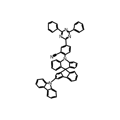 N#Cc1cc(-c2nc(-c3ccccc3)nc(-c3ccccc3)n2)ccc1N1c2ccccc2C2(c3ccccc3-c3cc(-n4c5ccccc5c5ccccc54)ccc32)c2ccccc21